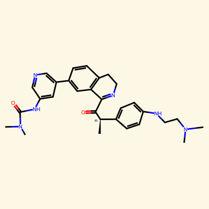 C[C@@H](C(=O)C1=NCCc2ccc(-c3cncc(NC(=O)N(C)C)c3)cc21)c1ccc(NCCN(C)C)cc1